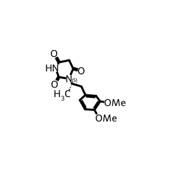 COc1ccc(C[C@H](C)N2C(=O)CC(=O)NC2=O)cc1OC